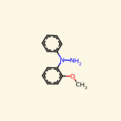 COc1ccccc1N(N)c1ccccc1